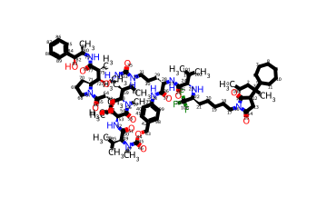 CCCC(C)(C1CCCCCC1)C1CC(=O)N(CCCCC[C@H](N[C@H](C(=O)N[C@@H](CCCNC(N)=O)C(=O)Nc2ccc(COC(=O)N(C)[C@H](C(=O)N[C@H](C(=O)N(C)[C@@H]([C@@H](C)CC)[C@@H](CC(=O)N3CCC[C@H]3[C@H](OC)[C@@H](C)C(=O)N[C@H](C)[C@@H](O)c3ccccc3)OC)C(C)C)C(C)C)cc2)C(C)C)C(F)(F)F)C1=O